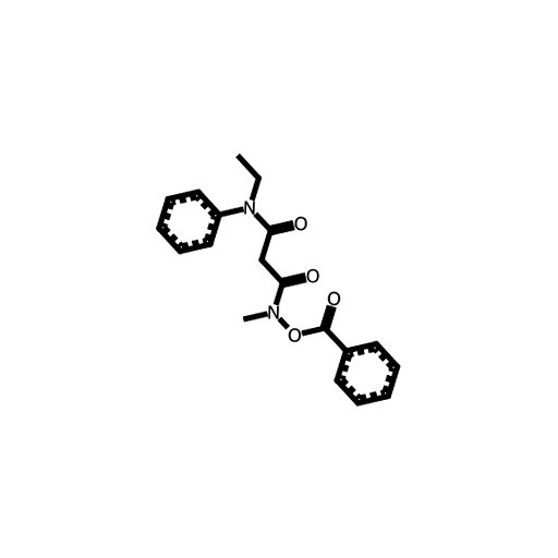 CCN(C(=O)CC(=O)N(C)OC(=O)c1ccccc1)c1ccccc1